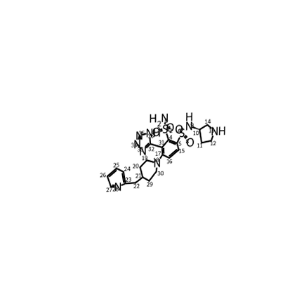 NS(=O)(=O)c1c(S(=O)(=O)N[C@@H]2CCNC2)ccc(N2CCC(Cc3ccccn3)CC2)c1-c1nnn[nH]1